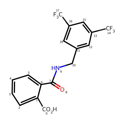 O=C(O)c1ccccc1C(=O)NCc1cc(C(F)(F)F)cc(C(F)(F)F)c1